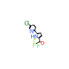 O=C(c1ccc(-c2ccc(Cl)cn2)[nH]1)C(F)(F)F